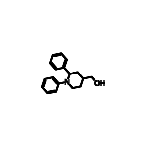 OCC1CCN(c2ccccc2)C(c2ccccc2)C1